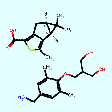 Cc1cc(CN)cc(C)c1OCC(CO)CO.Cc1sc(C(=O)O)c2c1[C@H]1[C@@H](C2)C1(C)C